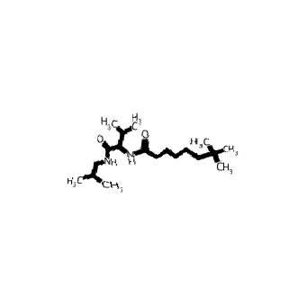 CC(C)CNC(=O)C(NC(=O)CCCCCC(C)(C)C)C(C)C